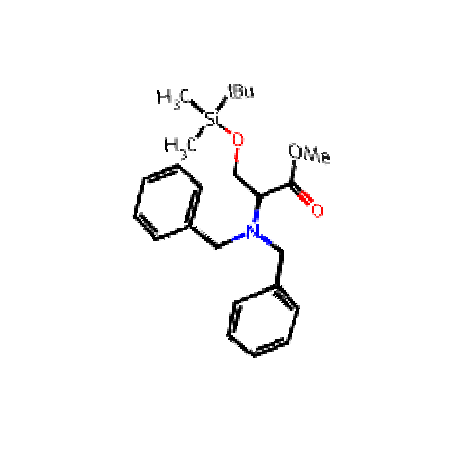 COC(=O)C(CO[Si](C)(C)C(C)(C)C)N(Cc1ccccc1)Cc1ccccc1